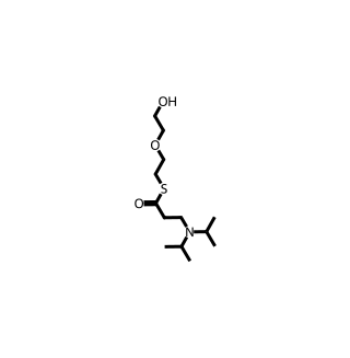 CC(C)N(CCC(=O)SCCOCCO)C(C)C